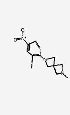 CN1CC2(C1)CN(c1ccc([N+](=O)[O-])cc1F)C2